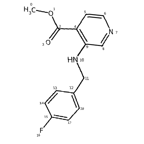 COC(=O)c1ccncc1NCc1ccc(F)cc1